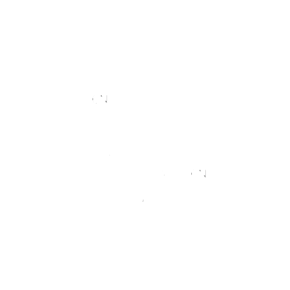 N#CCC1CCC(C#N)C1